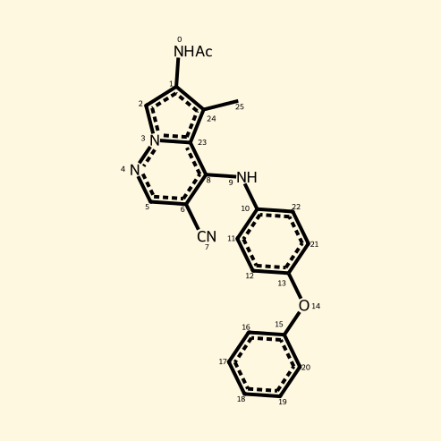 CC(=O)Nc1cn2ncc(C#N)c(Nc3ccc(Oc4ccccc4)cc3)c2c1C